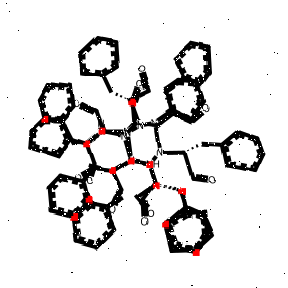 O=C[C@@H](Cc1ccccc1)NN([C@@H](C=O)Cc1ccccc1)N([C@@H](C=O)Cc1ccccc1)N([C@@H](C=O)Cc1ccccc1)N([C@@H](C=O)Cc1ccccc1)N([C@@H](C=O)Cc1ccccc1)N([C@@H](C=O)Cc1ccccc1)N([C@@H](C=O)Cc1ccccc1)N(N[C@@H](C=O)Cc1ccccc1)[C@@H](C=O)Cc1ccccc1